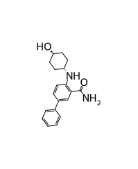 NC(=O)c1cc(-c2ccccc2)ccc1N[C@H]1CC[C@H](O)CC1